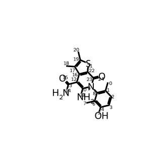 Cc1ccc(O)c(C)c1-n1c(N)c(C(N)=O)c2c(C)c(C)sc2c1=O